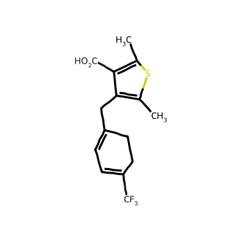 Cc1sc(C)c(C(=O)O)c1CC1=CC=C(C(F)(F)F)CC1